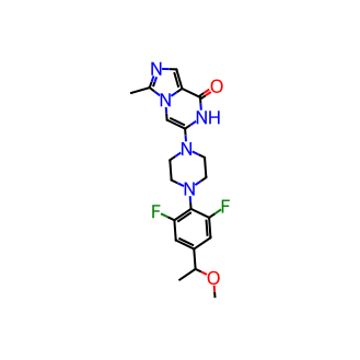 COC(C)c1cc(F)c(N2CCN(c3cn4c(C)ncc4c(=O)[nH]3)CC2)c(F)c1